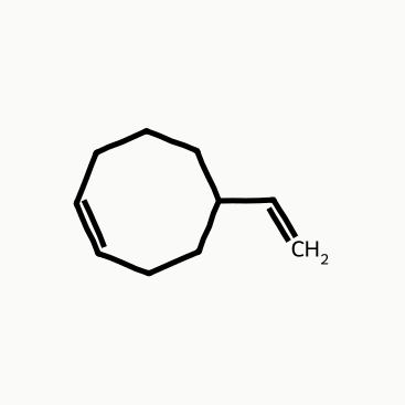 C=CC1CCC=CCCC1